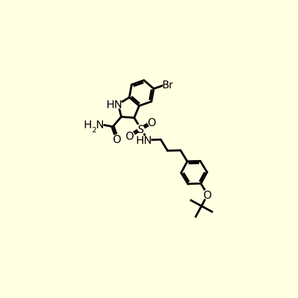 CC(C)(C)Oc1ccc(CCCNS(=O)(=O)C2c3cc(Br)ccc3NC2C(N)=O)cc1